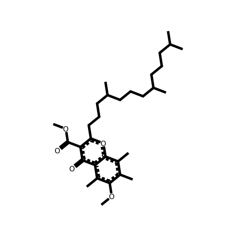 COC(=O)c1c(CCCC(C)CCCC(C)CCCC(C)C)oc2c(C)c(C)c(OC)c(C)c2c1=O